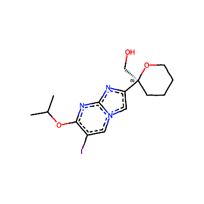 CC(C)Oc1nc2nc([C@]3(CO)CCCCO3)cn2cc1I